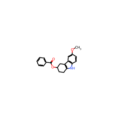 COc1ccc2[nH]c3c(c2c1)CC(OC(=O)c1ccccc1)CC3